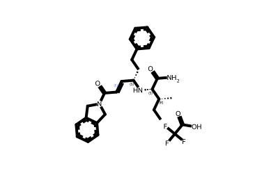 CC[C@@H](C)[C@H](N[C@H](/C=C/C(=O)N1Cc2ccccc2C1)CCc1ccccc1)C(N)=O.O=C(O)C(F)(F)F